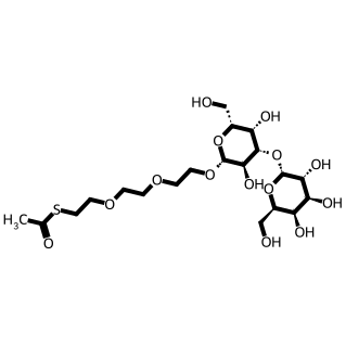 CC(=O)SCCOCCOCCO[C@@H]1O[C@H](CO)[C@H](O)[C@H](O[C@H]2O[C@H](CO)[C@H](O)[C@H](O)[C@H]2O)[C@H]1O